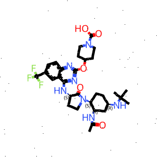 CC(=O)N[C@@H]1C[C@H](NC(C)(C)C)CC[C@@H]1N1CC[C@H](Nc2nc(OC3CCN(C(=O)O)CC3)nc3ccc(C(F)(F)F)cc23)C1=O